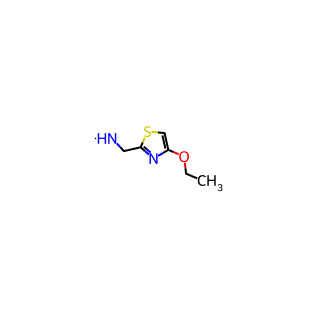 CCOc1csc(C[NH])n1